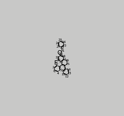 Fc1c[c]ccc1C1=C(c2ccccc2)CCc2cc(OCc3ccccc3)ccc21